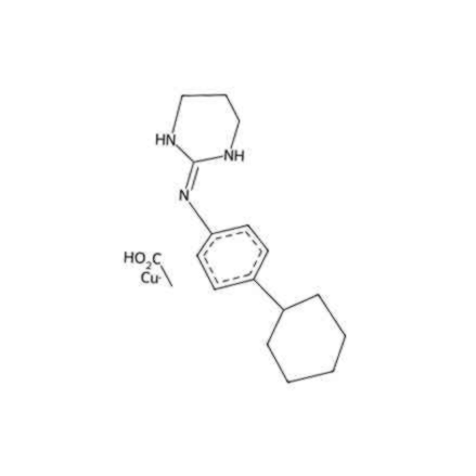 CC(=O)O.[Cu].c1cc(C2CCCCC2)ccc1N=C1NCCCN1